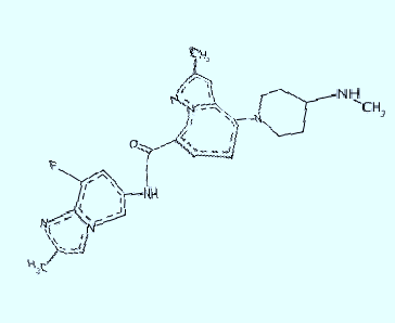 CNC1CCN(c2ccc(C(=O)Nc3cc(F)c4nc(C)cn4c3)n3nc(C)cc23)CC1